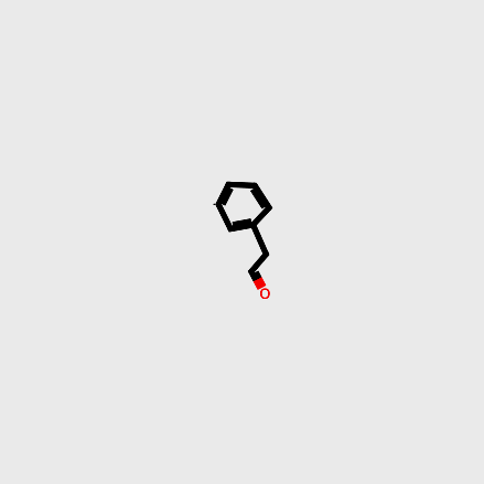 O=CCc1c[c]ccc1